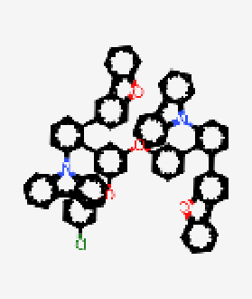 Clc1cccc(Oc2cc(Oc3cccc(-c4c(-c5ccc6c(c5)oc5ccccc56)cccc4-n4c5ccccc5c5ccccc54)c3)cc(-c3c(-c4ccc5oc6ccccc6c5c4)cccc3-n3c4ccccc4c4ccccc43)c2)c1